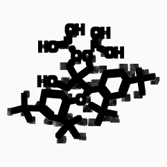 CC(C)(C)c1ccc(OC(c2ccc(C(C)(C)C)cc2C(C)(C)C)C(CO)(COP(O)O)COP(O)O)c(C(C)(C)C)c1